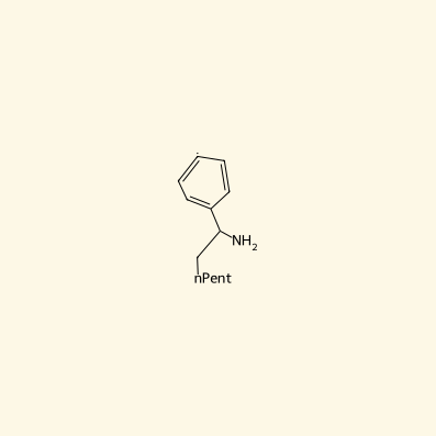 CCCCCCC(N)c1cc[c]cc1